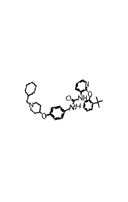 CC(C)(C)c1ccccc1Oc1ncccc1NC(=O)Nc1ccc(OC2CCN(CC3CCCCC3)CC2)cc1